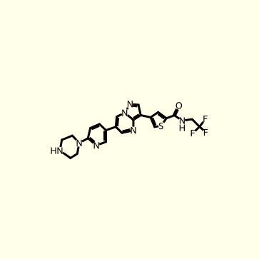 O=C(NCC(F)(F)F)c1cc(-c2cnn3cc(-c4ccc(N5CCNCC5)nc4)cnc23)cs1